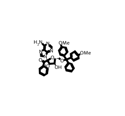 COc1ccc(C(OC[C@H]2O[C@@](C(=O)c3ccccc3)(n3cnc4c(N)ncnc43)[C@H](O)[C@@H]2O)(c2ccccc2)c2ccc(OC)cc2)cc1